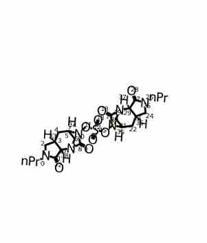 CCCN1C[C@@H]2C[C@@H]3CN(C(=O)N3OS(=O)(=O)ON3C(=O)N4C[C@H]3C[C@H]3CN(CCC)C(=O)[C@H]34)[C@@H]2C1=O